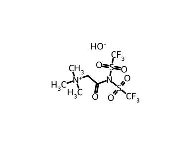 C[N+](C)(C)CC(=O)N(S(=O)(=O)C(F)(F)F)S(=O)(=O)C(F)(F)F.[OH-]